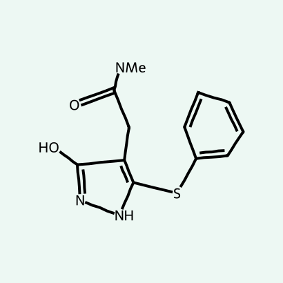 CNC(=O)Cc1c(O)n[nH]c1Sc1ccccc1